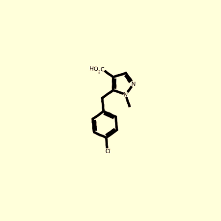 Cn1ncc(C(=O)O)c1Cc1ccc(Cl)cc1